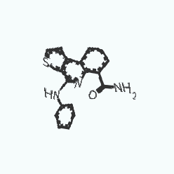 NC(=O)c1cccc2c1nc(Nc1ccccc1)c1sccc12